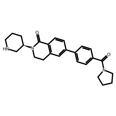 O=C(c1ccc(-c2ccc3c(c2)CCN([C@@H]2CCCNC2)C3=O)cc1)N1CCCC1